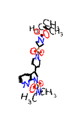 CN(C)S(=O)(=O)n1cc(C2CCN(S(=O)(=O)C3CN(C(=O)OC(C)(C)C)C3)CC2)c2cccnc21